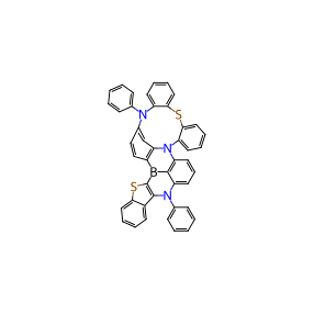 c1ccc(N2c3ccc4c(c3)N(c3ccccc3Sc3ccccc32)c2cccc3c2B4c2sc4ccccc4c2N3c2ccccc2)cc1